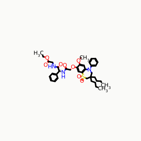 CCCCC1(CCCC)CN(c2ccccc2)c2cc(OC)c(OCC(=O)N[C@@H](C(=O)NCC(=O)OCC)c3ccccc3)cc2S(=O)(=O)C1